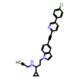 C#CCNC(CCn1ccc2cc(C#Cc3ccc(-c4ccc(Cl)cc4)cn3)ccc21)C1CC1